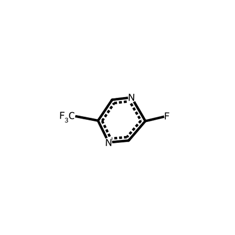 Fc1cnc(C(F)(F)F)cn1